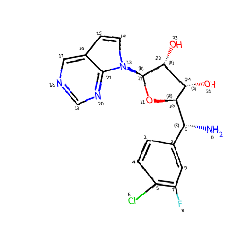 N[C@H](c1ccc(Cl)c(F)c1)[C@H]1O[C@@H](n2ccc3cncnc32)[C@H](O)[C@@H]1O